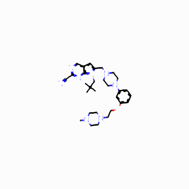 CN1CCN(CCOc2cccc(N3CCN(Cc4cc5cnc(C#N)nc5n4CC(C)(C)C)CC3)c2)CC1